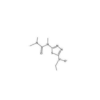 CC[S+]([O-])c1nnc(N(C)C(=O)N(C)C)s1